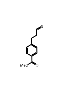 COC(=O)c1ccc(CCC=S)cc1